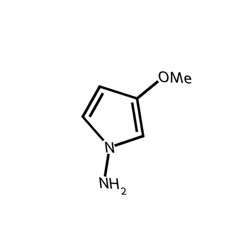 COc1ccn(N)c1